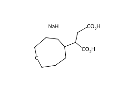 O=C(O)CC(C(=O)O)C1CCCCCCC1.[NaH]